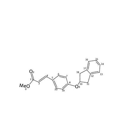 COC(=O)/C=C/c1ccc(OC2Cc3ccccc3C2)cc1